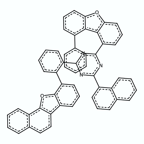 c1ccc(-c2cccc3oc4cccc(-c5nc(-c6ccccc6-c6cccc7c6oc6c8ccccc8ccc76)nc(-c6cccc7ccccc67)n5)c4c23)cc1